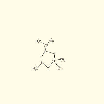 CN1CC(N(C)C(C)(C)C)CC(C)(C)C1